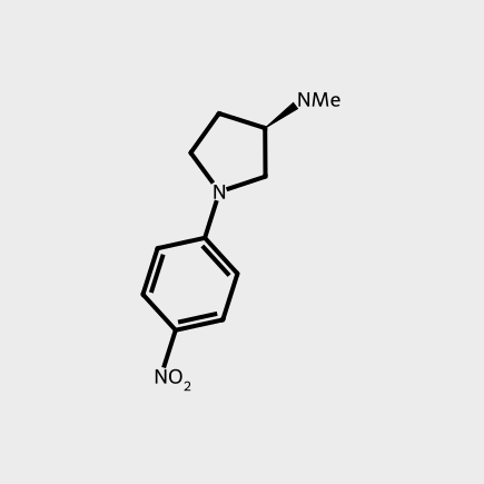 CN[C@@H]1CCN(c2ccc([N+](=O)[O-])cc2)C1